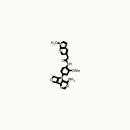 COc1cc(-n2c3c(c4ncnc(N)c42)COC3)ccc1NC(=O)Cc1cnc2c(ccn2C)c1